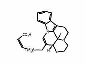 O=C(O)/C=C\C(=O)O.O=C(O)CC1=Cn2c3c(c4ccccc42)CCN2CCC[C@H]1[C@H]32